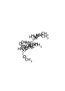 Cc1ccc(CCCC(=O)NC(CCC(=O)O)C(=O)NC(CC(=O)NC(CCCCN(N)/C=C(\N)CNC(C)C)C(=O)NC(C)C)C(=O)O)cc1